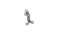 CC(N1CCN(c2ccc3c(c2)C(=O)N(C2CCCCC2)C3)CC1)N(Cc1ccccc1)Cc1ccccc1